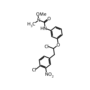 CON(C)C(=O)Nc1cccc(OC(Cl)Cc2ccc(Cl)c([N+](=O)[O-])c2)c1